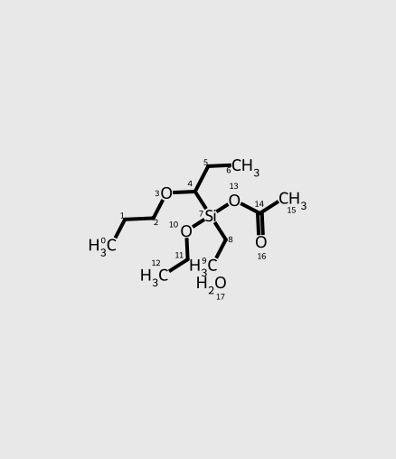 CCCOC(CC)[Si](CC)(OCC)OC(C)=O.O